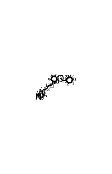 c1ccc(COc2cccc(CCCCn3ccnc3)c2)cc1